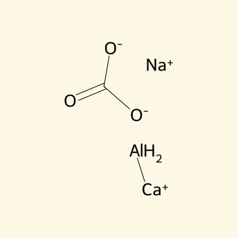 O=C([O-])[O-].[AlH2][Ca+].[Na+]